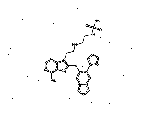 Nc1ncnc2c1nc(Sc1cc3sccc3cc1-c1ccco1)n2CCNCCNS(N)(=O)=O